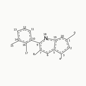 Cc1cc(C)c2cc(C)c(-c3cccc(C)c3C)nc2c1